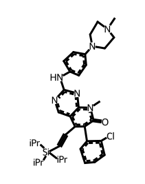 CC(C)[Si](C#Cc1c(-c2ccccc2Cl)c(=O)n(C)c2nc(Nc3ccc(N4CCN(C)CC4)cc3)ncc12)(C(C)C)C(C)C